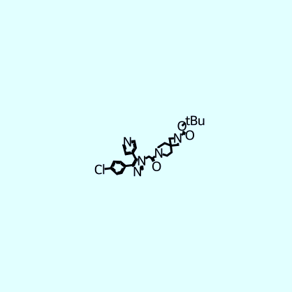 CC(C)(C)OC(=O)N1CC2(CCN(C(=O)Cn3cnc(-c4ccc(Cl)cc4)c3-c3ccncc3)CC2)C1